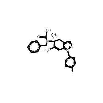 CC1=Cc2c(cnn2-c2ccc(F)cc2)C[C@]1(C)N(Cc1ccccc1)C(=O)O